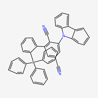 N#Cc1cc(-c2ccccc2[Si](c2ccccc2)(c2ccccc2)c2ccccc2)c(C#N)c(-n2c3ccccc3c3ccccc32)c1